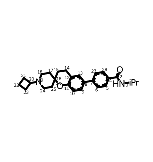 CC(C)NC(=O)c1ccc(-c2ccc3c(c2)CCC2(CCN(C4CCC4)CC2)O3)cc1